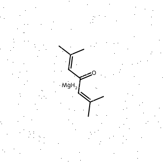 CC(C)=CC(=O)C=C(C)C.[MgH2]